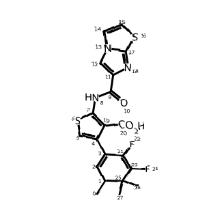 CC1C=C(c2csc(NC(=O)c3cn4ccsc4n3)c2C(=O)O)C(F)=C(F)C1(C)C